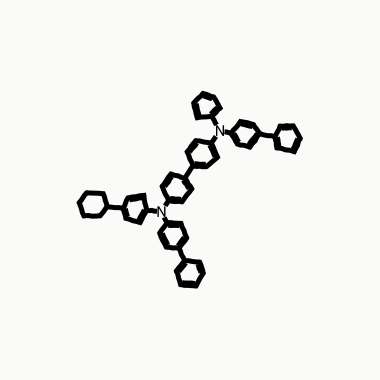 c1ccc(-c2ccc(N(c3ccccc3)c3ccc(-c4ccc(N(c5ccc(-c6ccccc6)cc5)c5ccc(C6CCCCC6)cc5)cc4)cc3)cc2)cc1